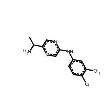 CC(N)c1cnc(Nc2ccc(Cl)c(C(F)(F)F)c2)cn1